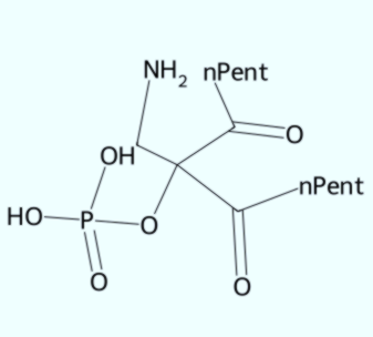 CCCCCC(=O)C(CN)(OP(=O)(O)O)C(=O)CCCCC